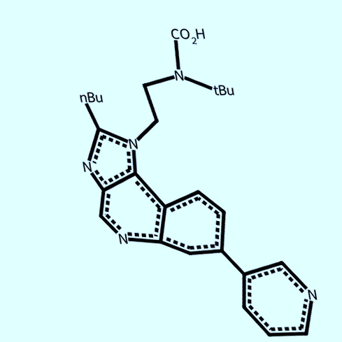 CCCCc1nc2cnc3cc(-c4cccnc4)ccc3c2n1CCN(C(=O)O)C(C)(C)C